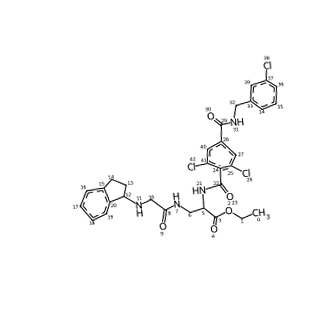 CCOC(=O)C(CNC(=O)CNC1CCc2ccccc21)NC(=O)c1c(Cl)cc(C(=O)NCc2cccc(Cl)c2)cc1Cl